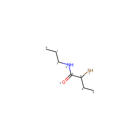 CCCNC(=O)C(S)CC